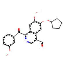 COc1cccc(C(=O)c2ncc(C=O)c3cc(OC4CCCC4)c(OC)cc23)c1